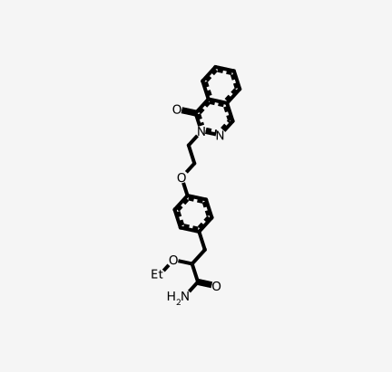 CCOC(Cc1ccc(OCCn2ncc3ccccc3c2=O)cc1)C(N)=O